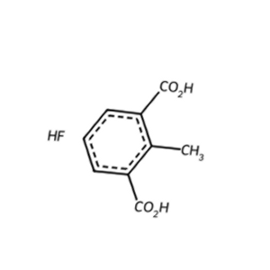 Cc1c(C(=O)O)cccc1C(=O)O.F